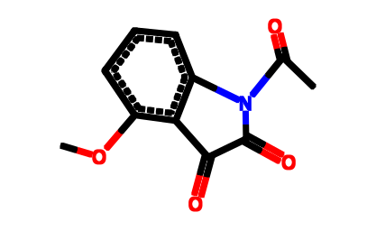 COc1cccc2c1C(=O)C(=O)N2C(C)=O